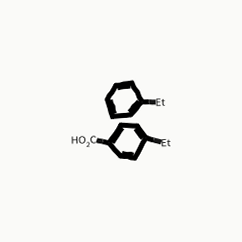 [CH2]Cc1ccc(C(=O)O)cc1.[CH2]Cc1ccccc1